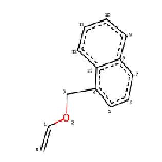 C=COCc1cccc2ccccc12